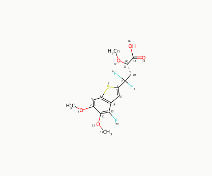 COc1cc2sc(C(F)(F)C[C@H](OC)C(=O)O)cc2c(F)c1OC